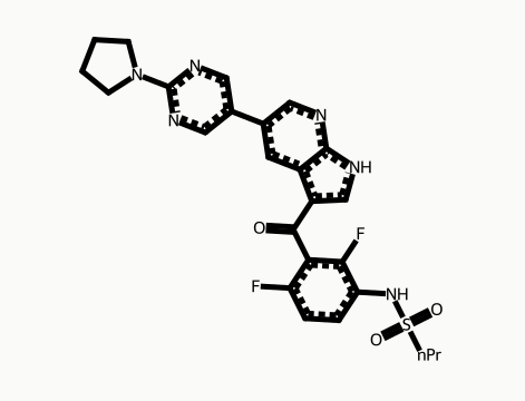 CCCS(=O)(=O)Nc1ccc(F)c(C(=O)c2c[nH]c3ncc(-c4cnc(N5CCCC5)nc4)cc23)c1F